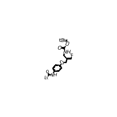 CCC(=O)Nc1ccc(OC/C(=C/F)CNC(=O)OC(C)(C)C)cc1